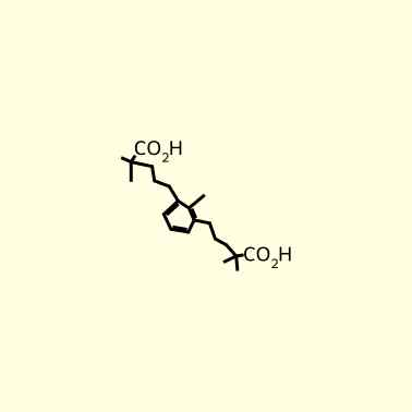 Cc1c(CCCC(C)(C)C(=O)O)cccc1CCCC(C)(C)C(=O)O